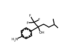 CC(C)CCC(O)(c1ccc(N)cc1)C(F)(F)F